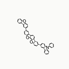 C1=CC2Oc3c(ccc4c3oc3ccc(-c5ccc6oc7ccccc7c6c5)cc34)C2C=C1c1ccc2c(c1)c1ccccc1n2-c1ccccc1